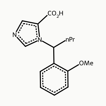 CCCC(c1ccccc1OC)n1cncc1C(=O)O